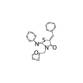 O=C1C(=Cc2ccccc2)SC(=Nc2ccccc2)N1Cc1ccco1